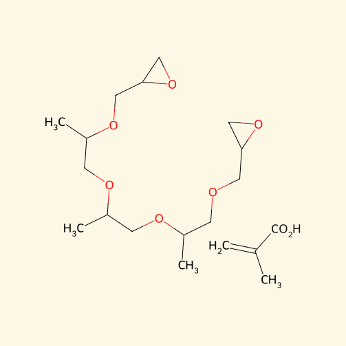 C=C(C)C(=O)O.CC(COCC1CO1)OCC(C)OCC(C)OCC1CO1